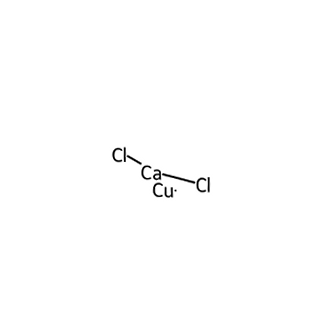 [Cl][Ca][Cl].[Cu]